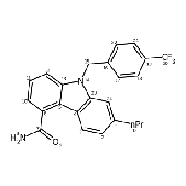 CCCc1c[c]c2c3c(C(N)=O)cccc3n(Cc3ccc(C(F)(F)F)cc3)c2c1